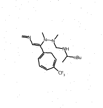 C=N/C=C(/C1=CC=CC(C(F)(F)F)=CC1)N(C)N(C)CNC(C)CCCC